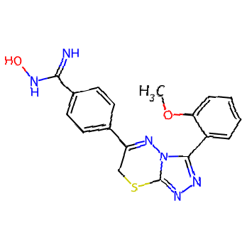 COc1ccccc1-c1nnc2n1N=C(c1ccc(C(=N)NO)cc1)CS2